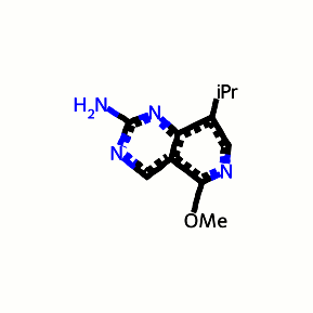 COc1ncc(C(C)C)c2nc(N)ncc12